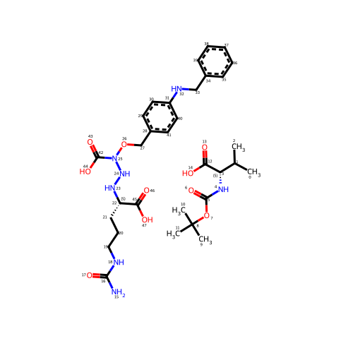 CC(C)[C@H](NC(=O)OC(C)(C)C)C(=O)O.NC(=O)NCCC[C@H](NNN(OCc1ccc(NCc2ccccc2)cc1)C(=O)O)C(=O)O